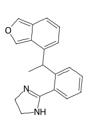 CC(c1ccccc1C1=NCCN1)c1cccc2cocc12